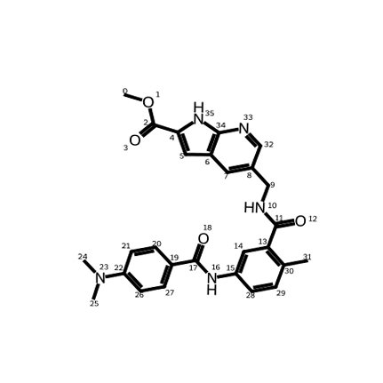 COC(=O)c1cc2cc(CNC(=O)c3cc(NC(=O)c4ccc(N(C)C)cc4)ccc3C)cnc2[nH]1